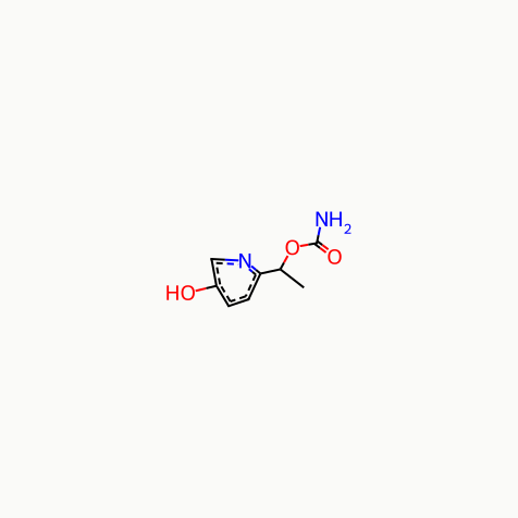 CC(OC(N)=O)c1ccc(O)cn1